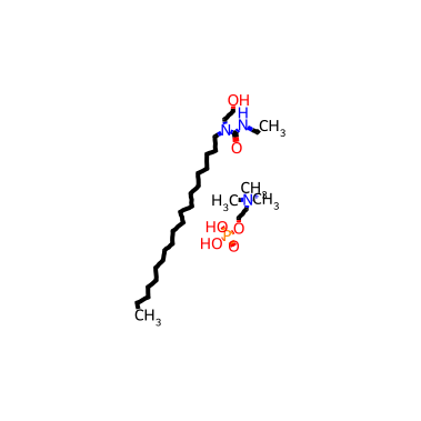 CCCCCCCCCCCCCCCCCCCCN(CCO)C(=O)NCC.C[N+](C)(C)CCOP(=O)(O)O